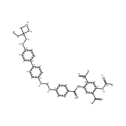 C=C(C)c1cc(OC(=O)c2ccc(OCOc3ccc(-c4ccc(OCC5(CC)COC5)cc4)cc3)cc2)c(C(=C)C)cc1OC(C)=O